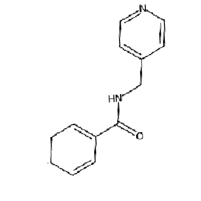 O=C(NCc1ccncc1)C1=CC[CH]C=C1